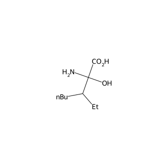 CCCCC(CC)C(N)(O)C(=O)O